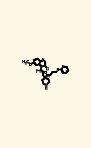 COc1ccc2ncc(Cl)c([C@H](F)CCC3([C@@H](O)CCCSc4ccccn4)CCNCC3)c2c1